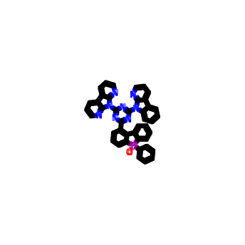 O=P1(c2ccccc2)c2ccccc2-c2c(-c3nc(-n4c5ccccc5c5cccnc54)nc(-n4c5ncccc5c5cccnc54)n3)cccc21